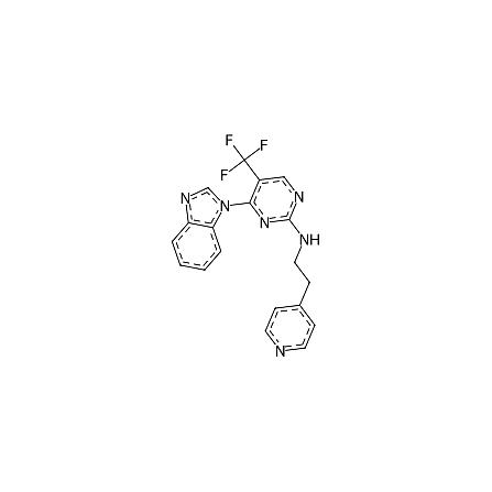 FC(F)(F)c1cnc(NCCc2ccncc2)nc1-n1cnc2ccccc21